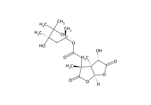 C[C@H](C[C@@](C)(O)C(C)(C)C)OC(=O)C[C@@]1(C)C(=O)O[C@@H]2OC(=O)[C@@H](O)[C@@]21C